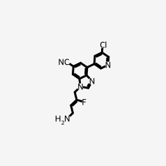 N#Cc1cc(-c2cncc(Cl)c2)c2ncn(C/C(F)=C/CN)c2c1